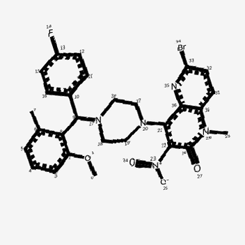 COc1cccc(C)c1C(c1ccc(F)cc1)N1CCN(c2c([N+](=O)[O-])c(=O)n(C)c3ccc(Br)nc23)CC1